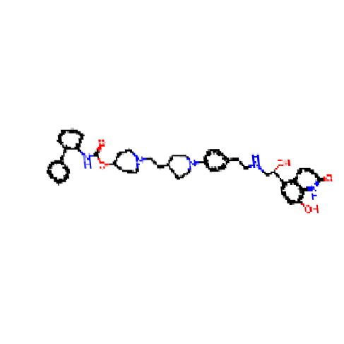 O=C(Nc1ccccc1-c1ccccc1)OC1CCN(CCC2CCN(c3ccc(CCNC[C@H](O)c4ccc(O)c5[nH]c(=O)ccc45)cc3)CC2)CC1